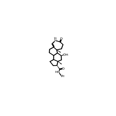 CC(C)NC(=O)[C@H]1CCC2C3CCC4=CNC(=O)CC[C@]4(C)C3[C@@H](O)C[C@@]21C